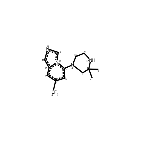 CC1(C)CN(c2cc(C(F)(F)F)cc3cncn23)CCN1